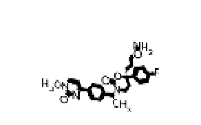 C[C@@H](c1ccc(-c2ccn(C)c(=O)n2)cc1)N1CC[C@](CCCON)(c2ccc(F)cc2)OC1=O